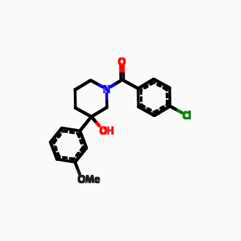 COc1cccc(C2(O)CCCN(C(=O)c3ccc(Cl)cc3)C2)c1